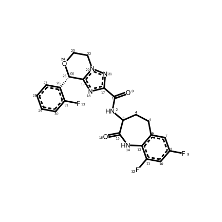 O=C(NC1CCc2cc(F)cc(F)c2NC1=O)c1nc2n(n1)CCO[C@H]2c1ccccc1F